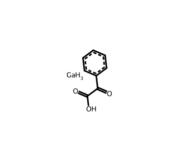 O=C(O)C(=O)c1ccccc1.[GaH3]